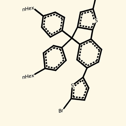 CCCCCCc1ccc(C2(c3ccc(CCCCCC)cc3)c3cc(-c4ccc(Br)s4)ccc3-c3sc(Br)cc32)cc1